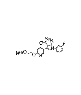 COCCOc1ccc(-c2cn(-c3cccc(F)c3)c3ncnc(Cl)c23)cn1